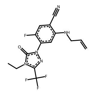 C=CCNc1cc(-n2nc(C(F)(F)F)n(CC)c2=O)c(F)cc1C#N